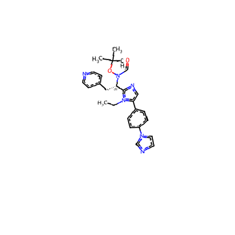 CCn1c(-c2ccc(-n3ccnc3)cc2)cnc1[C@H](Cc1ccncc1)N(C=O)OC(C)(C)C